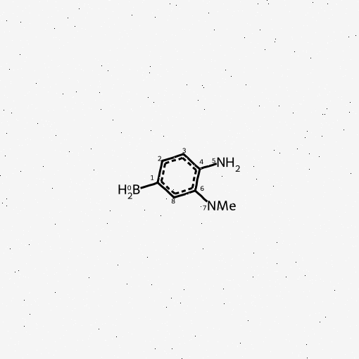 Bc1ccc(N)c(NC)c1